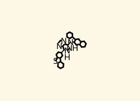 c1ccc2cc3c(cc2c1)c1ccccc1n3C1=c2nccnc2=C(c2ccc3sc4ccccc4c3c2)NN1